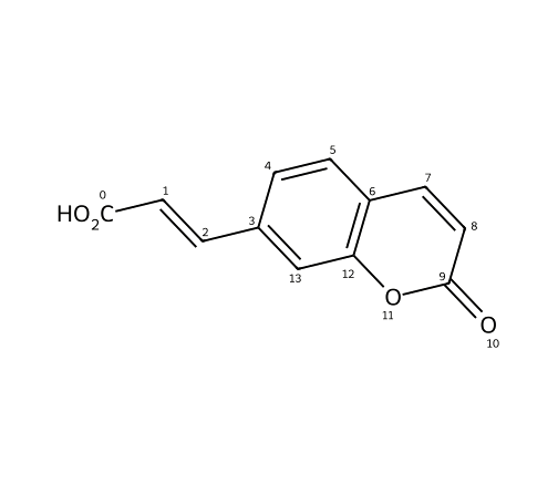 O=C(O)C=Cc1ccc2ccc(=O)oc2c1